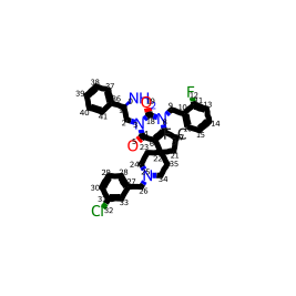 N[C@@H](Cn1c(=O)c2c(n(Cc3c(F)cccc3C(F)(F)F)c1=O)CCC21CCN(Cc2cccc(Cl)c2)CC1)c1ccccc1